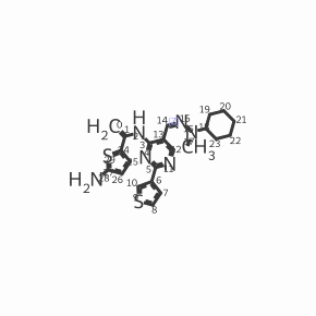 C=C(Nc1nc(-c2ccsc2)ncc1/C=N\N(C)C1CCCCC1)c1ccc(N)s1